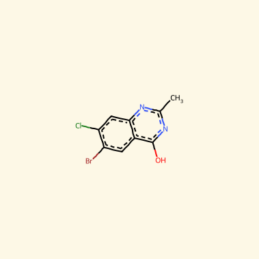 Cc1nc(O)c2cc(Br)c(Cl)cc2n1